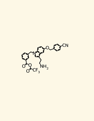 N#Cc1ccc(COc2ccc3c(c2)c(CCN)cn3Cc2cccc(C(=O)OC(=O)C(F)(F)F)c2)cc1